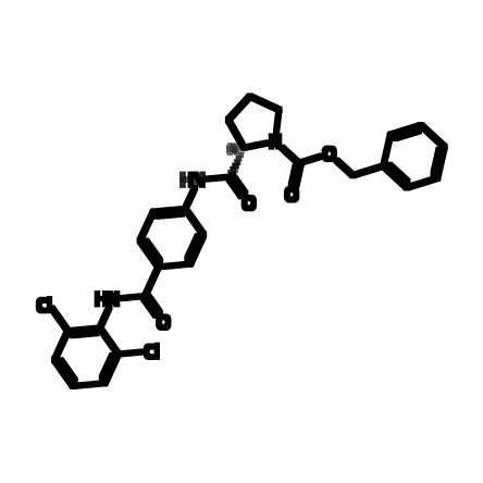 O=C(Nc1c(Cl)cccc1Cl)c1ccc(NC(=O)[C@@H]2CCCN2C(=O)OCc2ccccc2)cc1